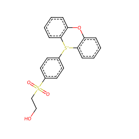 O=S(=O)(CCO)c1ccc([S+]2c3ccccc3Oc3ccccc32)cc1